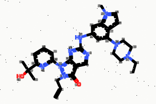 C=CCn1c(=O)c2cnc(Nc3cc(N4CCN(CC)CC4)c4ccn(C)c4c3)nc2n1-c1cccc(C(C)(C)O)n1